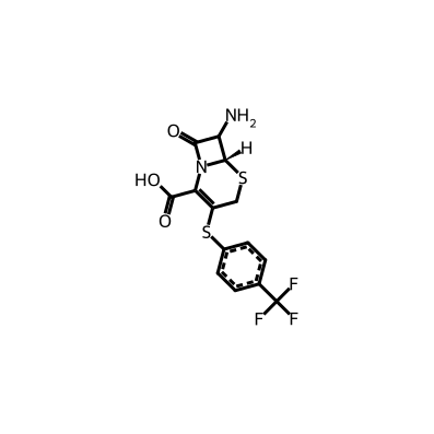 NC1C(=O)N2C(C(=O)O)=C(Sc3ccc(C(F)(F)F)cc3)CS[C@@H]12